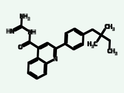 CCC(C)(C)Cc1ccc(-c2cc(C(=O)NC(=N)N)c3ccccc3n2)cc1